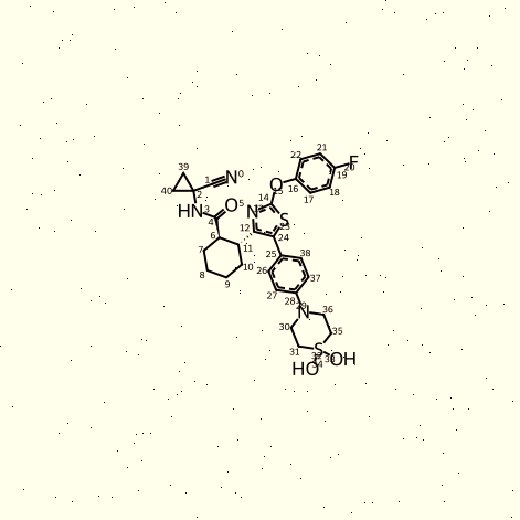 N#CC1(NC(=O)[C@@H]2CCCC[C@H]2c2nc(Oc3ccc(F)cc3)sc2-c2ccc(N3CCS(O)(O)CC3)cc2)CC1